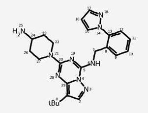 CC(C)(C)c1cnn2c(NCc3ccccc3-n3cccn3)nc(N3CCC(N)CC3)nc12